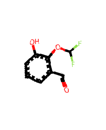 O=Cc1cccc(O)c1OC(F)F